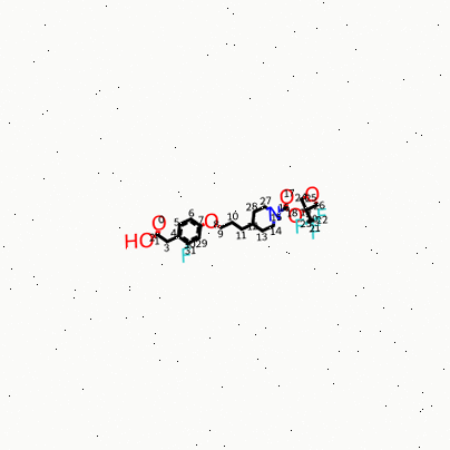 O=C(O)Cc1ccc(OCCCC2CCN(C(=O)OC3(C(F)(F)F)COC3)CC2)cc1F